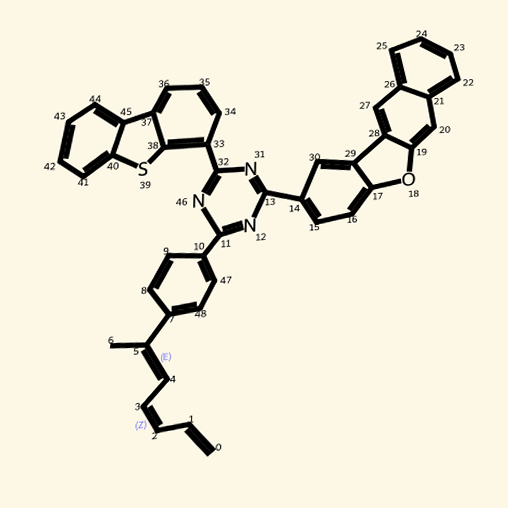 C=C/C=C\C=C(/C)c1ccc(-c2nc(-c3ccc4oc5cc6ccccc6cc5c4c3)nc(-c3cccc4c3sc3ccccc34)n2)cc1